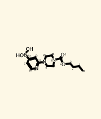 CCCCOC(=O)N1CCN(c2cc(B(O)O)ccn2)CC1